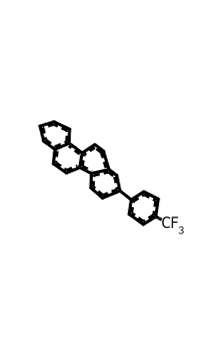 FC(F)(F)c1ccc(-c2ccc3c(ccc4c5ccccc5ccc34)c2)cc1